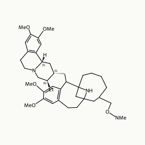 CC[C@H]1CN2CCc3cc(OC)c(OC)cc3[C@@H]2C[C@@H]1CC1c2cc(OC)c(OC)cc2CCC23CC(CONC)CCCCC1(C2)N3